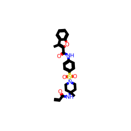 C=CC(=O)NC1(C)CCN(S(=O)(=O)c2ccc(NC(=O)c3oc4ccccc4c3C)cc2)CC1